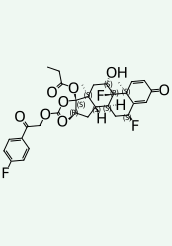 CCC(=O)O[C@]1(OC(=O)OCC(=O)c2ccc(F)cc2)[C@H](C)C[C@H]2[C@@H]3C[C@H](F)C4=CC(=O)C=C[C@]4(C)[C@@]3(F)[C@@H](O)C[C@@]21C